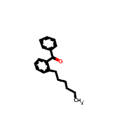 [CH2]CCCCCc1ccccc1C(=O)c1ccccc1